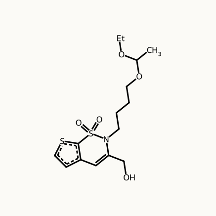 CCOC(C)OCCCCN1C(CO)=Cc2ccsc2S1(=O)=O